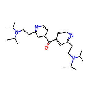 CC(C)N(CCc1cc(C(=O)c2ccnc(CCN(C(C)C)C(C)C)c2)ccn1)C(C)C